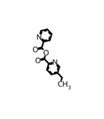 CCc1ccc(C(=O)OC(=O)c2ccccn2)nc1